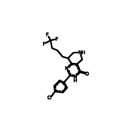 O=c1[nH]c(-c2ccc(Cl)cc2)nc2c1CNCC2CCCC(F)(F)F